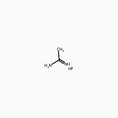 CC(=N)N.F